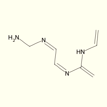 C=CNC(=C)/N=C\C=N/CN